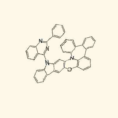 c1ccc(-c2nc(-n3c4ccccc4c4cc5c(cc43)N3c4ccccc4-c4ccccc4-c4cccc(c43)O5)c3ccccc3n2)cc1